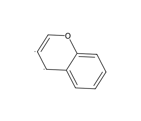 [C]1=COc2ccccc2[CH]1